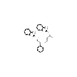 CCCC(C)Oc1nc2ccccc2s1.c1ccc(CCOc2nc3ccccc3s2)cc1